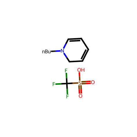 CCCCN1C=CC=CC1.O=S(=O)(O)C(F)(F)F